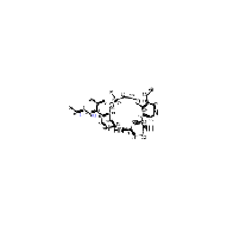 C=C(C)/C(=N\C=C\C)c1cnc2cc1O[C@@H](C)CCOc1c(CC)cncc1C1=NC(=CCN1)N2